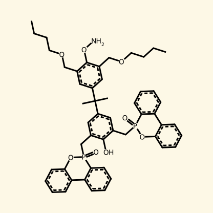 CCCCOCc1cc(C(C)(C)c2cc(CP3(=O)Oc4ccccc4-c4ccccc43)c(O)c(CP3(=O)Oc4ccccc4-c4ccccc43)c2)cc(COCCCC)c1ON